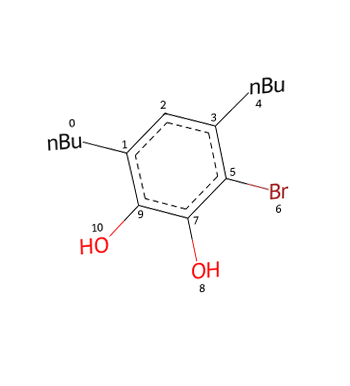 CCCCc1cc(CCCC)c(Br)c(O)c1O